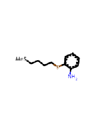 CSCCCCSc1ccccc1N